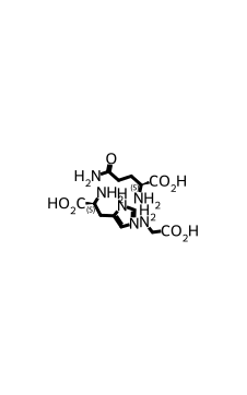 NC(=O)CC[C@H](N)C(=O)O.NCC(=O)O.N[C@@H](Cc1cnc[nH]1)C(=O)O